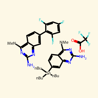 CCC[CH2][Sn]([CH2]CCC)([CH2]CCC)[c]1ccc2c(NC)nc(N)nc2c1.CNc1nc(N)nc2cc(-c3c(F)cc(F)cc3F)ccc12.O=C(O)C(F)(F)F